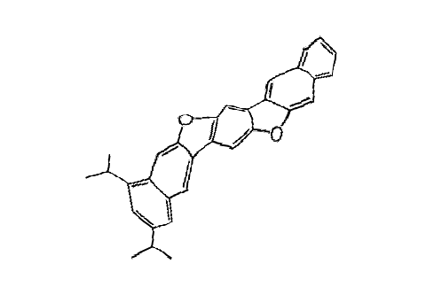 CC(C)c1cc(C(C)C)c2cc3oc4cc5c(cc4c3cc2c1)oc1cc2ccccc2cc15